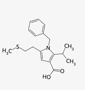 CSCCc1cc(C(=O)O)c(C(C)C)n1Cc1ccccc1